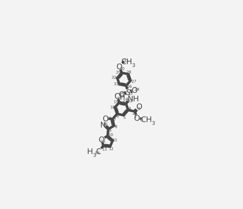 COC(=O)c1cc(-c2cc(-c3ccc(C)o3)no2)cc(C)c1NS(=O)(=O)c1ccc(OC)cc1